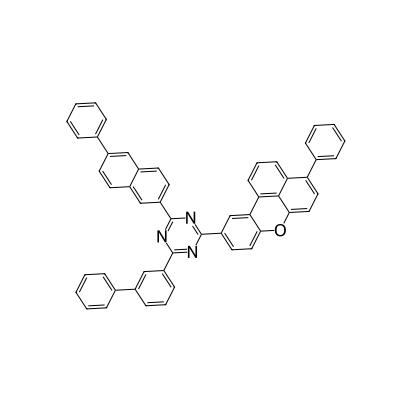 c1ccc(-c2cccc(-c3nc(-c4ccc5c(c4)-c4cccc6c(-c7ccccc7)ccc(c46)O5)nc(-c4ccc5cc(-c6ccccc6)ccc5c4)n3)c2)cc1